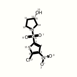 O=[N+]([O-])c1cc(S(=O)(=O)N2CC[C@H](O)C2)sc1Cl